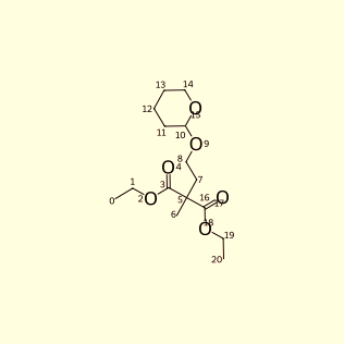 CCOC(=O)C(C)(CCOC1CCCCO1)C(=O)OCC